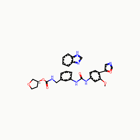 COc1cc(NC(=O)Nc2cccc(CNC(=O)O[C@H]3CCOC3)c2)ccc1-c1cnco1.c1ccc2[nH]cnc2c1